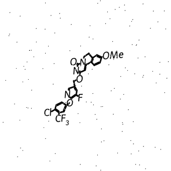 COc1ccc2c(c1)CCn1c-2cc(OCc2cnc(Oc3ccc(Cl)c(C(F)(F)F)c3)c(F)c2)nc1=O